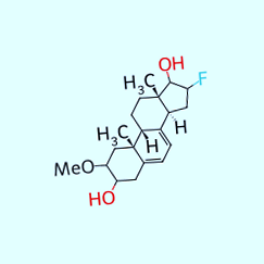 COC1C[C@@]2(C)C(=CC=C3[C@H]2CC[C@]2(C)C(O)C(F)C[C@@H]32)CC1O